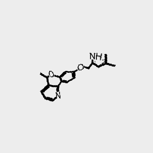 CC(C)C[C@H](N)COc1ccc2c(c1)OC(C)c1cccnc1-2